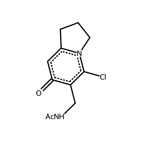 CC(=O)NCc1c(Cl)n2c(cc1=O)CCC2